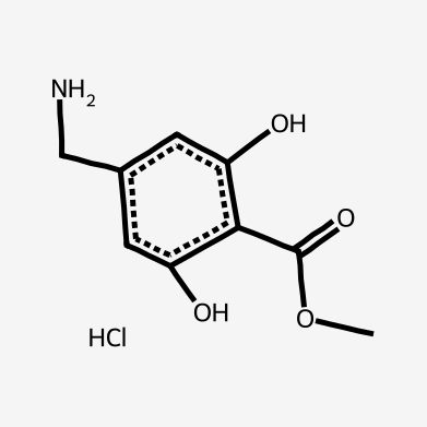 COC(=O)c1c(O)cc(CN)cc1O.Cl